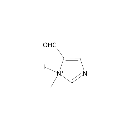 C[N+]1(I)C=NC=C1C=O